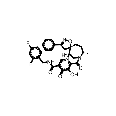 C[C@H]1CC[C@]2(CC(c3ccccc3)=NO2)[C@H]2CN1C(=O)c1c(O)c(=O)c(C(=O)NCc3ccc(F)cc3F)cn12